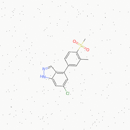 Cc1cc(-c2cc(Cl)cc3[nH]ncc23)ccc1S(C)(=O)=O